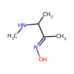 CNC(C)C(C)=NO